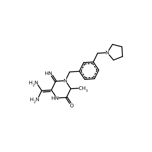 CC1C(=O)NC(=C(N)N)C(=N)N1Cc1cccc(CN2CCCC2)c1